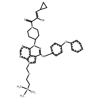 C[Si](C)(C)CCOCn1cc2c3c(ncnc31)N(C1CCN(C(=O)/C(C#N)=C/C3CC3)CC1)N=C2Nc1ccc(Oc2ccccc2)cc1